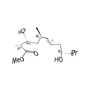 COC(=O)[C@H](C)[C@H](O)C[C@@H](C)/C=C/C[C@@H](O)C(C)C